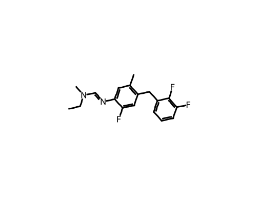 CCN(C)C=Nc1cc(C)c(Cc2cccc(F)c2F)cc1F